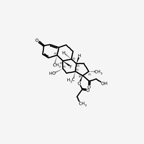 CCC(=O)O[C@]1(C(=O)CO)[C@@H](C)C[C@H]2[C@@H]3CCC4=CC(=O)C=C[C@]4(C)[C@@]3(F)[C@@H](O)C[C@@]21C